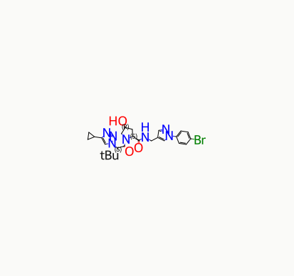 CC(C)(C)[C@@H](C(=O)N1C[C@H](O)C[C@H]1C(=O)NCc1cnn(-c2ccc(Br)cc2)c1)n1cc(C2CC2)nn1